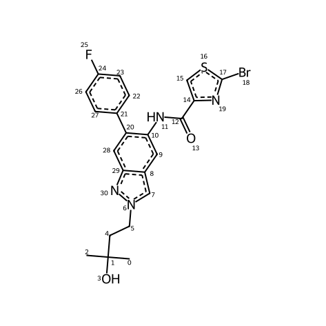 CC(C)(O)CCn1cc2cc(NC(=O)c3csc(Br)n3)c(-c3ccc(F)cc3)cc2n1